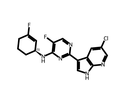 FC1=C[C@@H](Nc2nc(-c3c[nH]c4ncc(Cl)cc34)ncc2F)CCC1